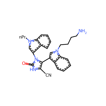 CCCn1cc(-n2c(-c3cn(CCCCN)c4ccccc34)c(C#N)[nH]c2=O)c2ccccc21